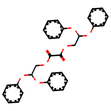 O=C(OCC(Oc1ccccc1)Oc1ccccc1)C(=O)OCC(Oc1ccccc1)Oc1ccccc1